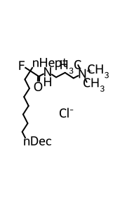 CCCCCCCCCCCCCCCCCC(F)(CCCCCCC)C(=O)NCCC[N+](C)(C)C.[Cl-]